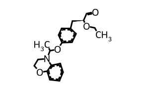 CCO[C@H](C=O)Cc1ccc(OC(C)N2CCOc3ccccc32)cc1